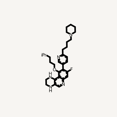 CC(C)CCCOc1c(-c2ccc(CCCCN3CCCCC3)nc2)c(F)cc2ncc3c(c12)NCCN3